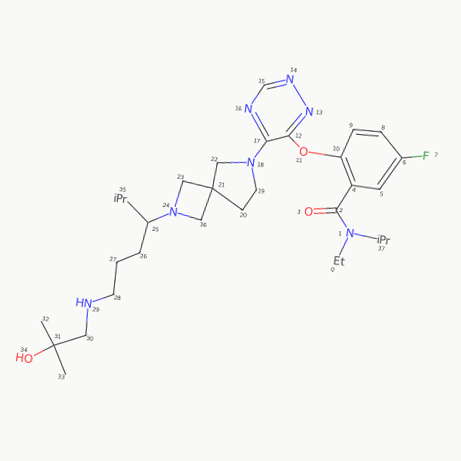 CCN(C(=O)c1cc(F)ccc1Oc1nncnc1N1CCC2(C1)CN(C(CCCNCC(C)(C)O)C(C)C)C2)C(C)C